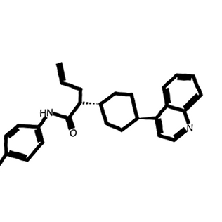 C=CCC(C(=O)Nc1ccc(Cl)cc1)[C@H]1CC[C@H](c2ccnc3ccccc32)CC1